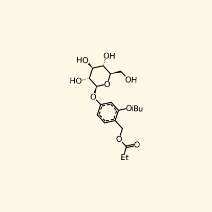 CCC(=O)OCc1ccc(O[C@@H]2O[C@H](CO)[C@@H](O)[C@H](O)[C@H]2O)cc1OCC(C)C